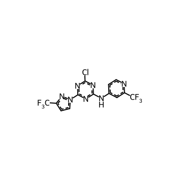 FC(F)(F)c1cc(Nc2nc(Cl)nc(-n3ccc(C(F)(F)F)n3)n2)ccn1